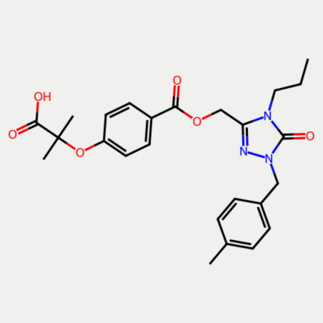 CCCn1c(COC(=O)c2ccc(OC(C)(C)C(=O)O)cc2)nn(Cc2ccc(C)cc2)c1=O